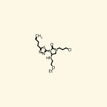 C=CCCc1nnc(N2C(=O)N(CCCCl)CC2NCCOCC)s1